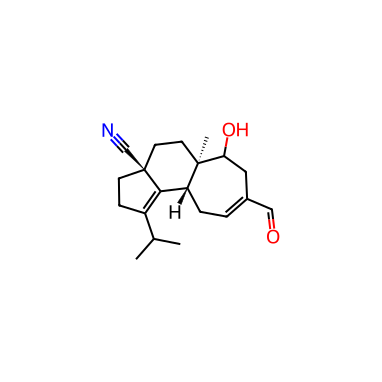 CC(C)C1=C2[C@H]3CC=C(C=O)CC(O)[C@]3(C)CC[C@@]2(C#N)CC1